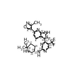 Cc1nocc1-c1ccc2c(-c3nc(N[C@H]4CCC(C)(C)NC4)ncc3C(F)(F)F)n[nH]c2n1